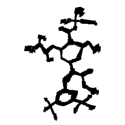 CCC1CC(N(Cc2cc(C(F)(F)F)cc(C(F)(F)F)c2)C(=O)OC)CC(CC(O)C(C)C)N1C(=O)OC(C)(C)C